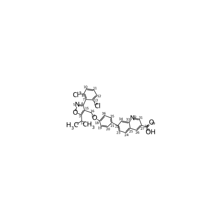 CC(C)c1onc(-c2c(Cl)cccc2Cl)c1COc1ccc(-c2ccc3cc(C(=O)O)cnc3c2)cc1